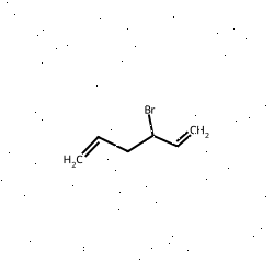 C=CCC(Br)C=C